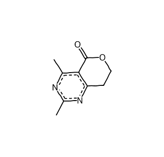 Cc1nc(C)c2c(n1)CCOC2=O